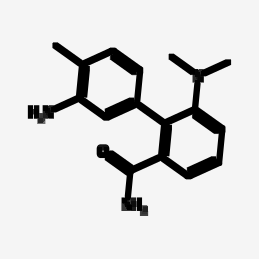 Cc1ccc(-c2c(C(N)=O)cccc2N(C)C)cc1N